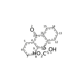 O=C(O)O.O=c1c2ccccc2sc2ccccc12